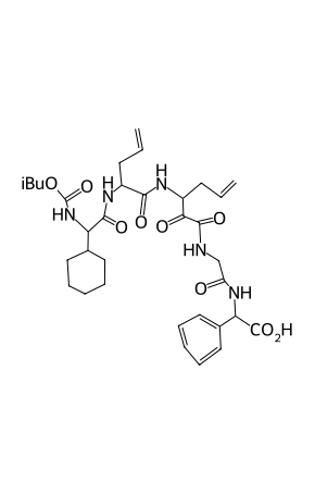 C=CCC(NC(=O)C(NC(=O)OCC(C)C)C1CCCCC1)C(=O)NC(CC=C)C(=O)C(=O)NCC(=O)NC(C(=O)O)c1ccccc1